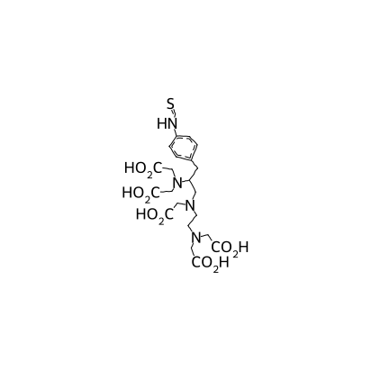 O=C(O)CN(CCN(CC(=O)O)CC(Cc1ccc(NC=S)cc1)N(CC(=O)O)CC(=O)O)CC(=O)O